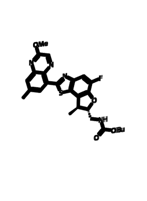 COc1cnc2c(-c3nc4cc(F)c5c(c4s3)[C@H](C)[C@@H](CNC(=O)OCC(C)C)O5)cc(C)cc2n1